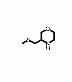 CSCC1COCCN1